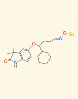 CC1(C)C(=O)Nc2ccc(OC(CCC=NOS)C3CCCCC3)cc21